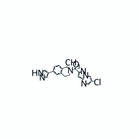 CC1c2ccc(-c3cn[nH]c3)cc2CCN1C(=O)c1cc2ncc(Cl)cn2n1